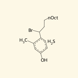 CCCCCCCCCCC(Br)c1ccc(O)cc1C.S